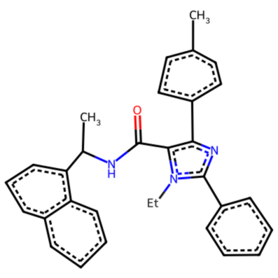 CCn1c(-c2ccccc2)nc(-c2ccc(C)cc2)c1C(=O)NC(C)c1cccc2ccccc12